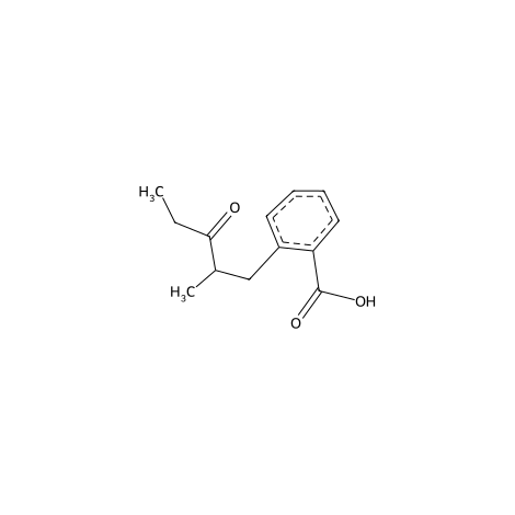 CCC(=O)C(C)Cc1ccccc1C(=O)O